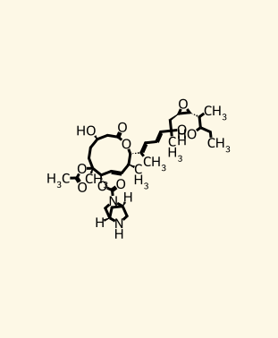 CCC(O)C(C)[C@H]1O[C@@H]1CC(C)(O)/C=C/C=C(\C)[C@H]1OC(=O)C[C@H](O)CC[C@@](C)(OC(C)=O)[C@@H](OC(=O)N2C[C@@H]3C[C@H]2CN3)/C=C/[C@@H]1C